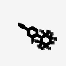 [2H]C1([2H])NC([2H])([2H])C([2H])([2H])N(c2ccc(C#N)cc2F)C1([2H])[2H]